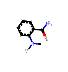 CCN(C)c1ccccc1C(N)=O